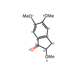 COc1cc2c(cc1OC)C(=O)C(OC)C2